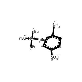 CCCC[PH](CCCC)(CCCC)CCCC.Nc1ccc(S(=O)(=O)O)cc1